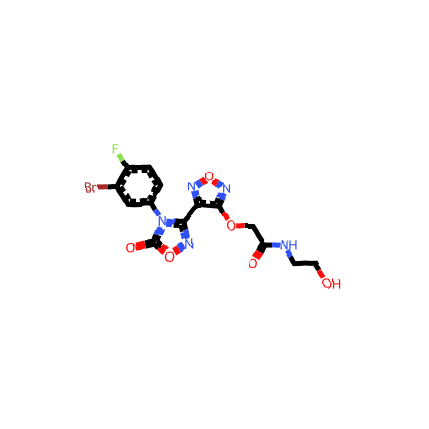 O=C(COc1nonc1-c1noc(=O)n1-c1ccc(F)c(Br)c1)NCCO